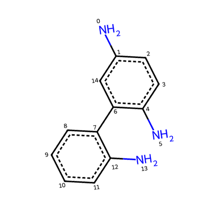 Nc1ccc(N)c(-c2ccccc2N)c1